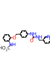 O=C(O)Nc1ccccc1OCc1ccc(NC(=O)NCc2cccnc2)cc1